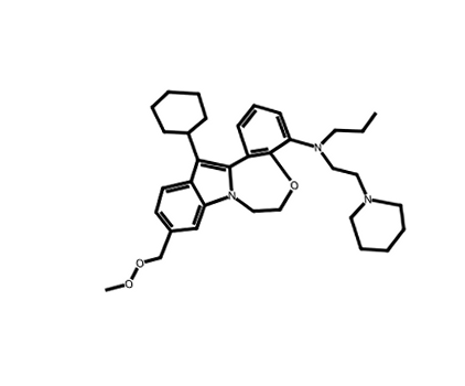 CCCN(CCN1CCCCC1)c1cccc2c1OCCn1c-2c(C2CCCCC2)c2ccc(COOC)cc21